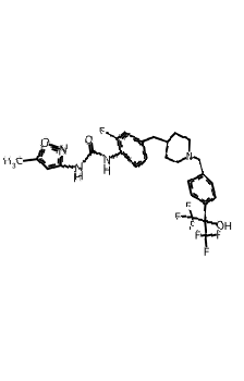 Cc1cc(NC(=O)Nc2ccc(CC3CCN(Cc4ccc(C(O)(C(F)(F)F)C(F)(F)F)cc4)CC3)cc2F)no1